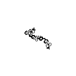 CN1CCC[C@@H]1c1cc2cnc(NC(=O)c3ccc(CC4CCN(C(=O)OC(C)(C)C)CC4)cc3)cc2n1C(=O)OC(C)(C)C